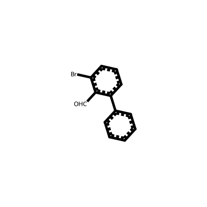 O=Cc1c(Br)cccc1-c1ccccc1